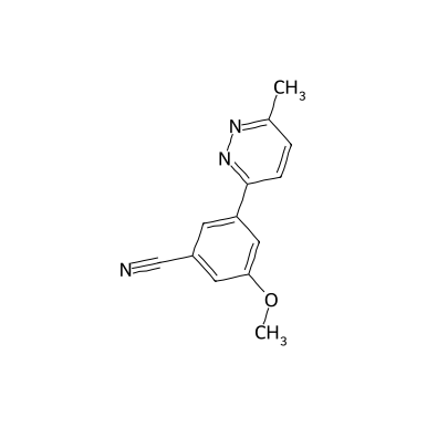 COc1cc(C#N)cc(-c2ccc(C)nn2)c1